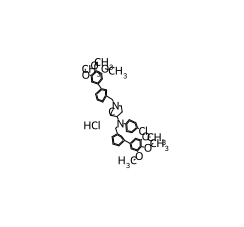 COc1cc(-c2cccc(CN3CCC(N(Cc4cccc(-c5cc(OC)c(OC)c(OC)c5)c4)c4ccc(Cl)cc4)CC3)c2)cc(OC)c1OC.Cl